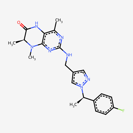 Cc1nc(NCc2cnn([C@H](C)c3ccc(F)cc3)c2)nc2c1NC(=O)[C@H](C)N2C